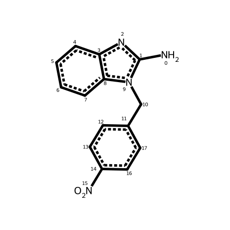 Nc1nc2ccccc2n1Cc1ccc([N+](=O)[O-])cc1